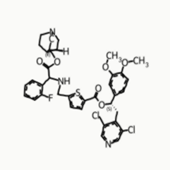 COc1ccc([C@H](Cc2c(Cl)cncc2Cl)OC(=O)c2ccc(CNC(C(=O)O[C@H]3CN4CCC3CC4)c3ccccc3F)s2)cc1OC